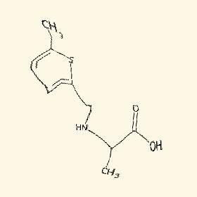 Cc1ccc(CNC(C)C(=O)O)s1